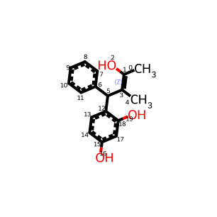 C/C(O)=C(\C)C(c1ccccc1)c1ccc(O)cc1O